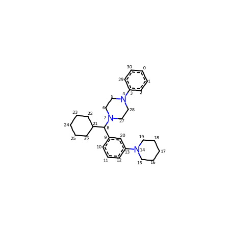 c1ccc(N2CCN(C(c3cccc(N4CCCCC4)c3)C3CCCCC3)CC2)cc1